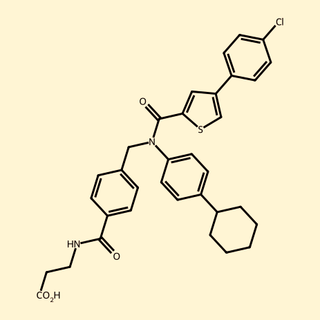 O=C(O)CCNC(=O)c1ccc(CN(C(=O)c2cc(-c3ccc(Cl)cc3)cs2)c2ccc(C3CCCCC3)cc2)cc1